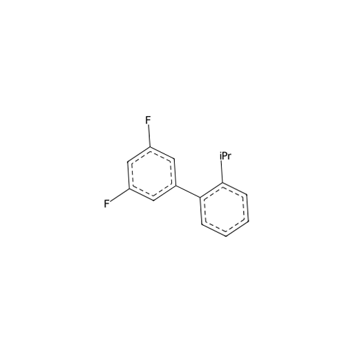 CC(C)c1ccccc1-c1cc(F)cc(F)c1